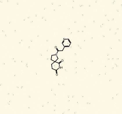 O=C1CCC2(CCN(C(=O)Cc3cccnc3)C2)C(=O)N1